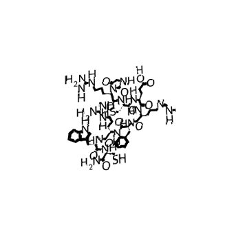 CN/C=N\CCC[C@H](NC(=O)[C@H](CCC(=O)O)NC(=O)[C@H](CS)NC(=O)[C@@H](CCCNC(=N)N)N1C(=O)CNC1=O)C(=O)N[C@H](Cc1ccccc1)C(=O)N[C@@H](CCCNC(=N)N)C(=O)N[C@@H](Cc1c[nH]c2ccccc12)C(=O)N[C@@H](CS)C(N)=O